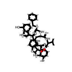 CC(C)C1NC(=O)[C@@H](NC(=O)OCc2ccccc2)Cc2ccc3c(c2)C2(c4cccc(Br)c4NC2O3)c2oc1nc2C(=O)NCC(=O)c1c[nH]c2c(O)cccc12